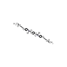 C=CC(=O)OCCCCOc1ccc(/C=C(\C#N)C(=O)Oc2ccc(SC(=O)/C(C#N)=C/c3ccc(OCCCCOC(=O)C=C)cc3)nc2)cc1